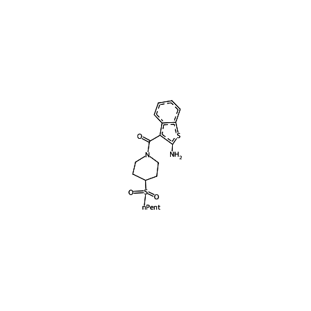 CCCCCS(=O)(=O)C1CCN(C(=O)c2c(N)sc3ccccc23)CC1